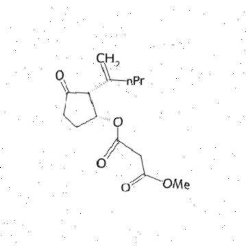 C=C(CCC)[C@H]1C(=O)CC[C@H]1OC(=O)CC(=O)OC